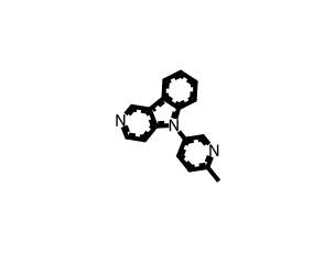 Cc1ccc(-n2c3ccccc3c3cnccc32)cn1